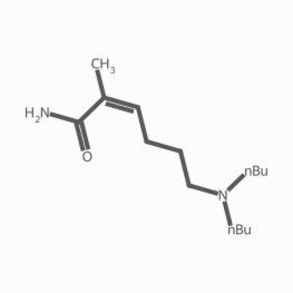 CCCCN(CCCC)CCCC=C(C)C(N)=O